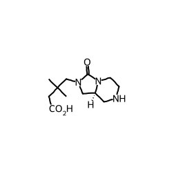 CC(C)(CC(=O)O)CN1C[C@@H]2CNCCN2C1=O